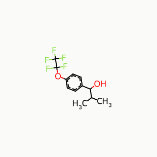 CC(C)C(O)c1ccc(OC(F)(F)C(F)(F)F)cc1